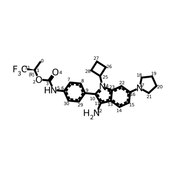 C[C@@H](OC(=O)Nc1ccc(-c2c(N)c3ccc(N4CCCC4)cc3n2C2CCC2)cc1)C(F)(F)F